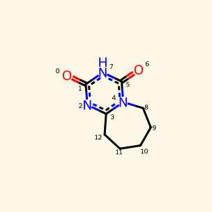 O=c1nc2n(c(=O)[nH]1)CCCCC2